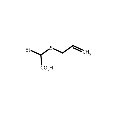 C=CCSC(CC)C(=O)O